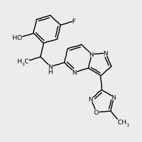 Cc1nc(-c2cnn3ccc(NC(C)c4cc(F)ccc4O)nc23)no1